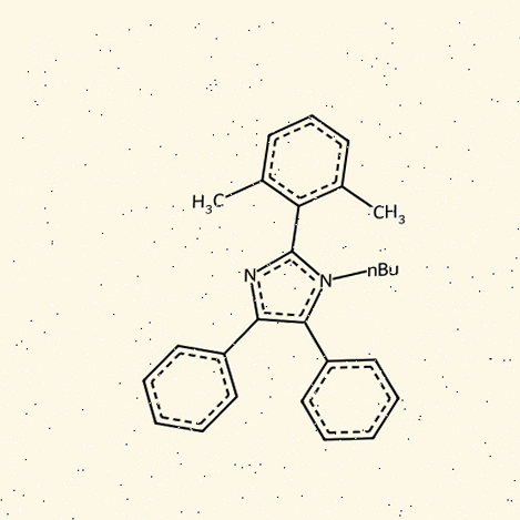 CCCCn1c(-c2c(C)cccc2C)nc(-c2ccccc2)c1-c1ccccc1